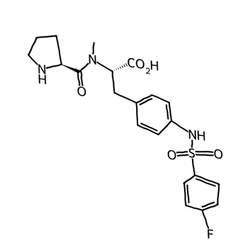 CN(C(=O)[C@@H]1CCCN1)[C@@H](Cc1ccc(NS(=O)(=O)c2ccc(F)cc2)cc1)C(=O)O